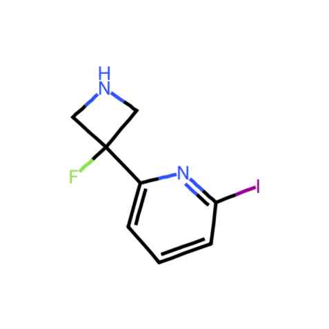 FC1(c2cccc(I)n2)CNC1